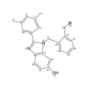 Cc1cc(C)cc(-c2nc3ccc(O)cc3n2Cc2ccccc2CBr)c1